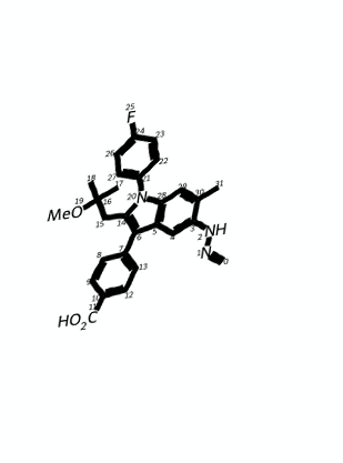 C=NNc1cc2c(-c3ccc(C(=O)O)cc3)c(CC(C)(C)OC)n(-c3ccc(F)cc3)c2cc1C